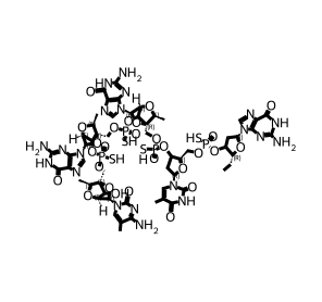 CC[C@H]1O[C@@H](n2cnc3c(=O)[nH]c(N)nc32)CC1OP(=O)(S)OC[C@H]1O[C@@H](n2cc(C)c(=O)[nH]c2=O)CC1OP(=O)(S)OC[C@@]12O[C@@H](n3cnc4c(=O)[nH]c(N)nc43)[C@@H](O[C@H]1C)C2OP(=O)(S)OC[C@@]12O[C@@H](n3cnc4c(=O)[nH]c(N)nc43)[C@@H](O[C@H]1C)C2OP(=O)(S)OC[C@@]12O[C@@H](n3cc(C)c(N)nc3=O)[C@@H](O[C@H]1C)C2O